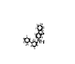 c1ccc(-c2cccc(Nc3ccc4c(c3)sc3ccccc34)c2)cc1